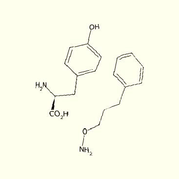 NOCCCc1ccccc1.N[C@@H](Cc1ccc(O)cc1)C(=O)O